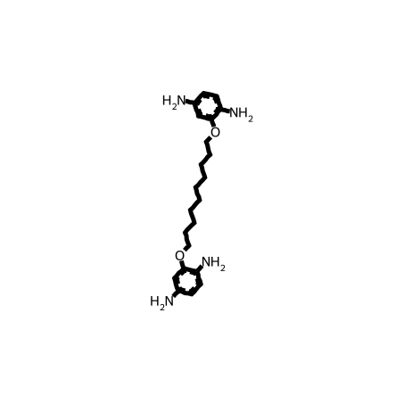 Nc1ccc(N)c(OCCCCCCCCCCOc2cc(N)ccc2N)c1